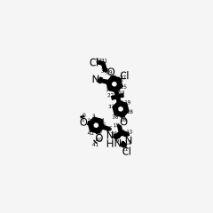 COc1ccc(CNc2nc(Cl)ncc2COc2ccc(C(C)(C)c3cc(Cl)c(OCCCl)c(C#N)c3)cc2)c(OC)c1